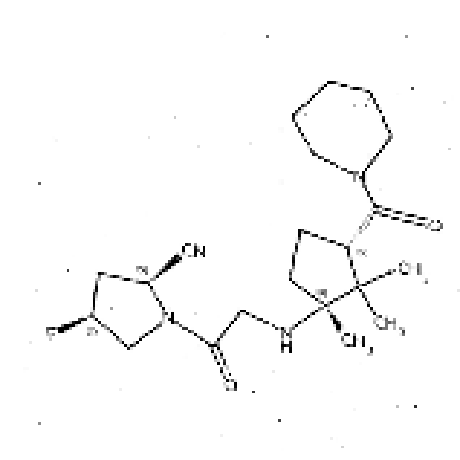 CC1(C)[C@@H](C(=O)N2CCCCC2)CC[C@@]1(C)NCC(=O)N1C[C@@H](F)C[C@H]1C#N